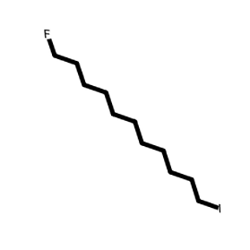 FCCCCCCCCCCCI